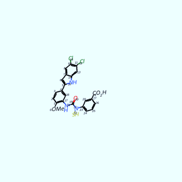 COc1ccc(-c2cc3cc(Cl)c(Cl)cc3[nH]2)cc1NC(=O)N(S)c1cccc(C(=O)O)c1